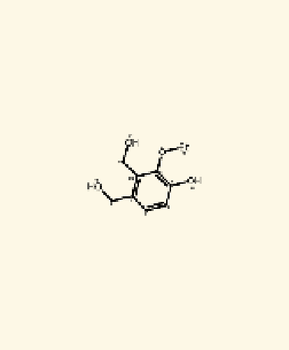 CCOc1c(O)ccc(CO)c1CO